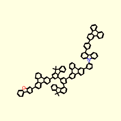 CC1(C)c2ccccc2-c2c(-c3cc(-c4ccc5c6ccc(-c7cccc(-n8c9ccccc9c9c(-c%10ccc(-c%11ccc%12c%13ccccc%13c%13ccccc%13c%12c%11)cc%10)cccc98)c7)cc6c6ccccc6c5c4)cc(-c4cc(-c5ccc6c7ccc(-c8ccc9c(c8)oc8ccccc89)cc7c7ccccc7c6c5)cc5c4-c4ccccc4C5(C)C)c3)cccc21